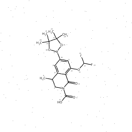 CC1CN(C(=O)O)C(=O)c2c(OC(F)F)cc(B3OC(C)(C)C(C)(C)O3)cc21